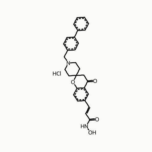 Cl.O=C(C=Cc1ccc2c(c1)C(=O)CC1(CCN(Cc3ccc(-c4ccccc4)cc3)CC1)O2)NO